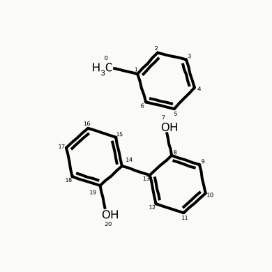 Cc1ccccc1.Oc1ccccc1-c1ccccc1O